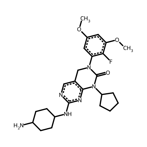 COc1cc(OC)c(F)c(N2Cc3cnc(NC4CCC(N)CC4)nc3N(C3CCCC3)C2=O)c1